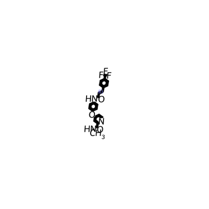 CNC(=O)c1cc(Oc2ccc(NC(=O)/C=C/c3ccc(C(F)(F)F)cc3)cc2)ccn1